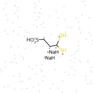 O=S(=O)(O)CCC(S)S.[NaH].[NaH]